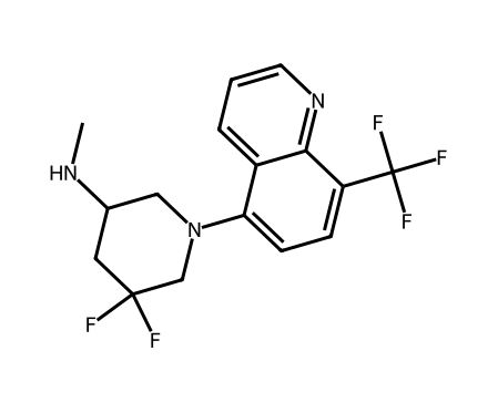 CNC1CN(c2ccc(C(F)(F)F)c3ncccc23)CC(F)(F)C1